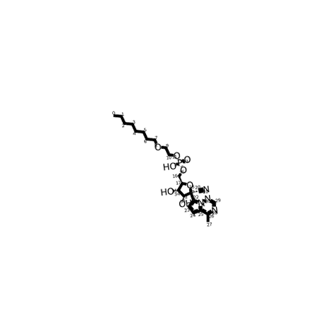 CCCCCCCCOCCOP(=O)(O)OC[C@H]1O[C@@](C#N)(c2ccc3c(C)ncnn23)[C@H](O)[C@@H]1O